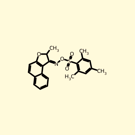 Cc1cc(C)c(S(=O)(=O)O/N=C2/c3c(ccc4ccccc34)OC2C)c(C)c1